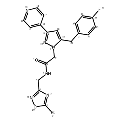 CCc1nc(CNC(=O)Cn2nc(-c3ccncc3)cc2Cc2ccc(F)cc2)no1